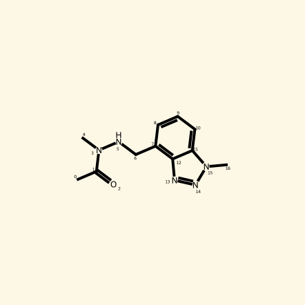 CC(=O)N(C)NCc1cccc2c1nnn2C